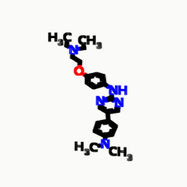 CCN(CC)CCOc1ccc(Nc2ncc(-c3ccc(N(C)C)cc3)cn2)cc1